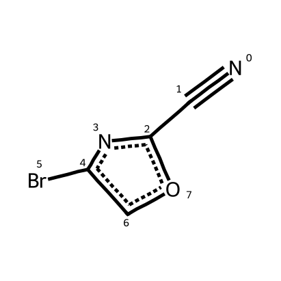 N#Cc1nc(Br)co1